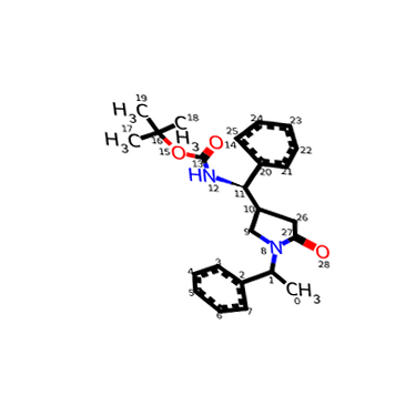 CC(c1ccccc1)N1CC([C@@H](NC(=O)OC(C)(C)C)c2ccccc2)CC1=O